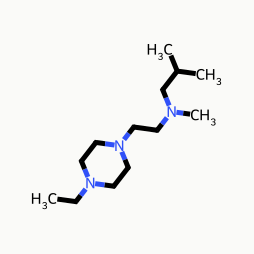 CCN1CCN(CCN(C)CC(C)C)CC1